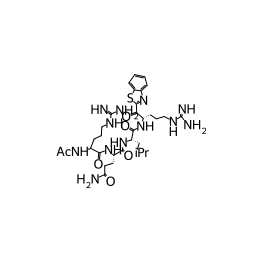 CC(=O)N[C@@H](CCCNC(=N)N)C(=O)N[C@@H](CCC(N)=O)C(=O)N[C@@H](CC(C)C)C(=O)N[C@@H](CCCNC(=N)N)C(=O)c1nc2ccccc2s1